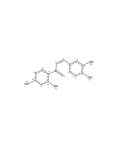 O=C(/C=C\c1ccc(O)c(O)c1)c1ccc(O)cc1O